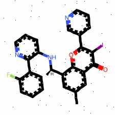 Cc1cc([C@@H](C)Nc2cccnc2-c2ccccc2F)c2oc(-c3cccnc3)c(I)c(=O)c2c1